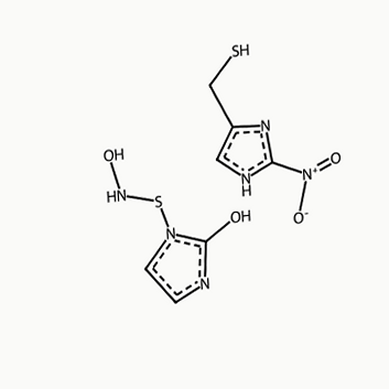 O=[N+]([O-])c1nc(CS)c[nH]1.ONSn1ccnc1O